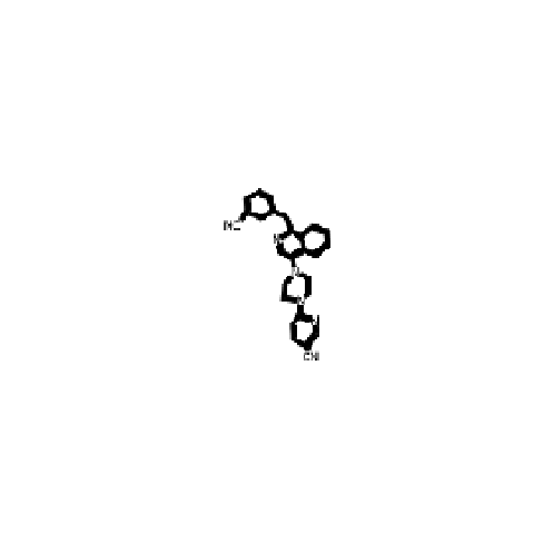 N#CC1=CC=CC(CC2N=CC(N3CCN(c4ccc(C#N)cn4)CC3)=C3C=CC=CC32)C1